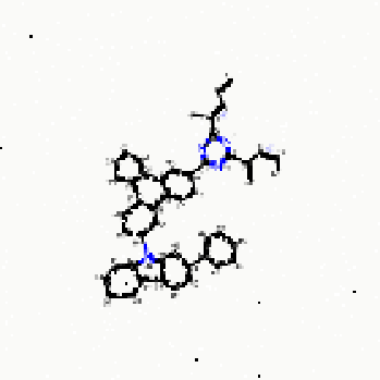 C=C/C=C(\C)c1nc(C(=C)/C=C\C)nc(-c2ccc3c(c2)c2ccccc2c2ccc(-n4c5ccccc5c5ccc(-c6ccccc6)cc54)cc23)n1